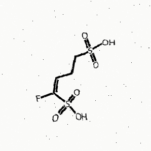 O=S(=O)(O)CCC=C(F)S(=O)(=O)O